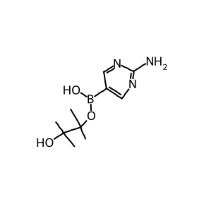 CC(C)(O)C(C)(C)OB(O)c1cnc(N)nc1